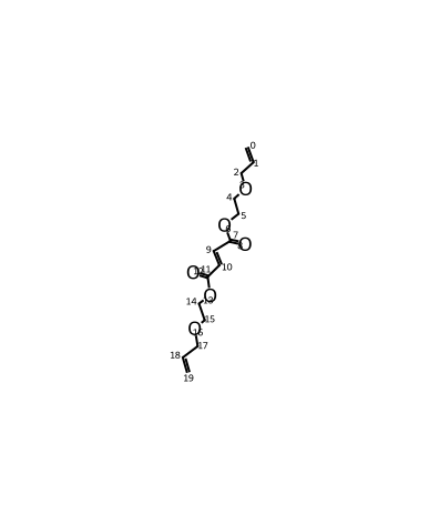 C=CCOCCOC(=O)C=CC(=O)OCCOCC=C